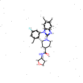 Cc1cc(F)cc(-n2c(N3CCC(C(=O)NC4CCOC4)CC3)nc3cc(C)c(C)cc32)c1